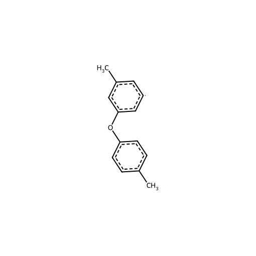 Cc1ccc(Oc2c[c]cc(C)c2)cc1